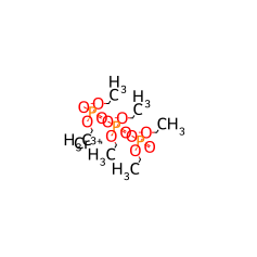 CCOP(=O)([O-])OCC.CCOP(=O)([O-])OCC.CCOP(=O)([O-])OCC.[Cr+3]